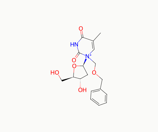 CC1=C[N+](COCc2ccccc2)([C@H]2C[C@H](O)[C@@H](CO)O2)C(=O)NC1=O